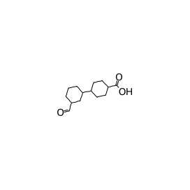 O=CC1CCCC(C2CCC(C(=O)O)CC2)C1